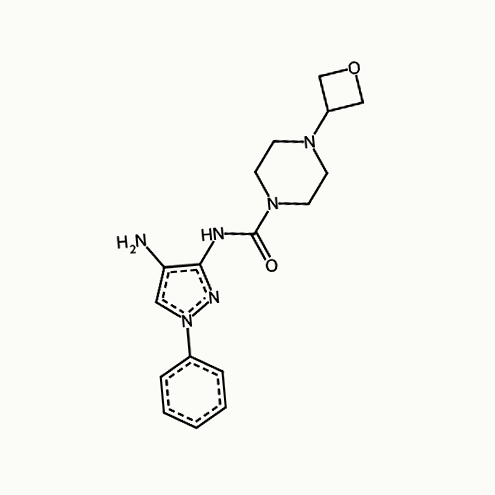 Nc1cn(-c2ccccc2)nc1NC(=O)N1CCN(C2COC2)CC1